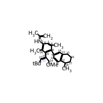 C=C(C)Nc1cc(C)c(-c2ccc3c(c2)CCCC3C)c(/C(=C/C(C)(C)C)COC)c1C